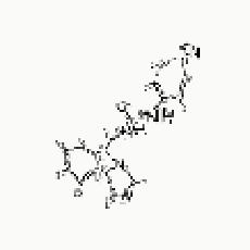 N#Cc1ccc(NC(=O)NCC2c3ccccc3-c3cncn32)cc1